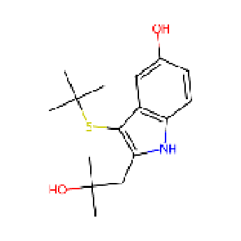 CC(C)(O)Cc1[nH]c2ccc(O)cc2c1SC(C)(C)C